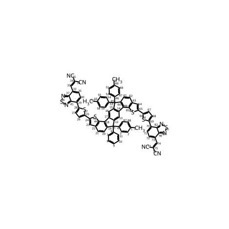 Cc1ccc(C2(c3ccccc3)c3cc4c(cc3-c3c2ccc2cc(-c5ccc(-c6ccc(C=C(C#N)C#N)c7nsnc67)s5)sc32)C(c2ccc(C)cc2)(c2ccc(C)cc2)c2ccc3cc(-c5ccc(-c6ccc(C=C(C#N)C#N)c7nsnc67)s5)sc3c2-4)cc1